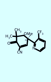 CO[C@]1(c2ncccc2C(F)(F)F)C=C(C#N)C(=O)C(C)(C)C1